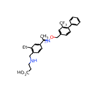 CCc1cc(/C(C)=N/OCc2ccc(-c3ccccc3)c(C(F)(F)F)c2)ccc1CNCCC(=O)O